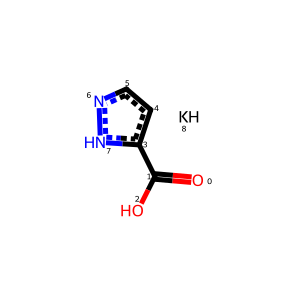 O=C(O)c1ccn[nH]1.[KH]